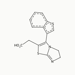 O=C(O)CC1=C(c2csc3ccccc23)N2CCN=C2S1